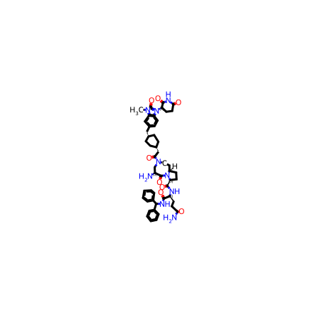 Cn1c(=O)n([C@@H]2CCC(=O)NC2=O)c2ccc(C[C@H]3CC[C@@H](CC(=O)N4CC[C@H]5CC[C@@H](C(=O)N[C@@H](CCC(N)=O)C(=O)NC(c6ccccc6)c6ccccc6)N5C(=O)[C@@H](N)C4)CC3)cc21